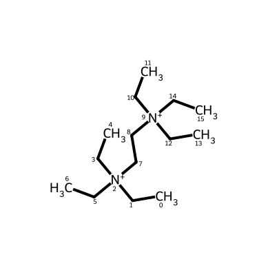 CC[N+](CC)(CC)CC[N+](CC)(CC)CC